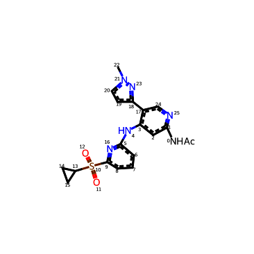 CC(=O)Nc1cc(Nc2cccc(S(=O)(=O)C3CC3)n2)c(-c2ccn(C)n2)cn1